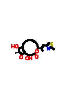 C/C(=C\c1csc(C)n1)[C@@H]1C/C=C\CCCC2C=C(C(=O)[C@H](C)[C@H]2O)[C@@H](O)CC(=O)O1